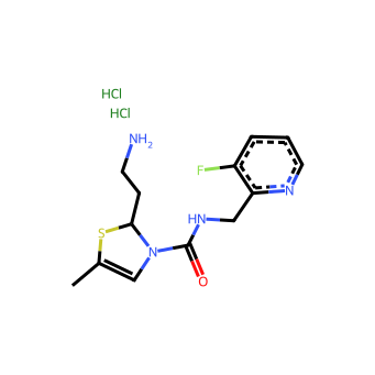 CC1=CN(C(=O)NCc2ncccc2F)C(CCN)S1.Cl.Cl